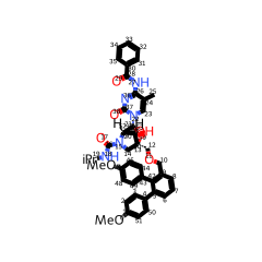 COc1ccc(-c2cccc(COC[C@@]34CN(C(=O)NC(C)C)[C@@H]([C@H](n5cc(C)c(NC(=O)c6ccccc6)nc5=O)O3)[C@@H]4O)c2-c2ccc(OC)cc2)cc1